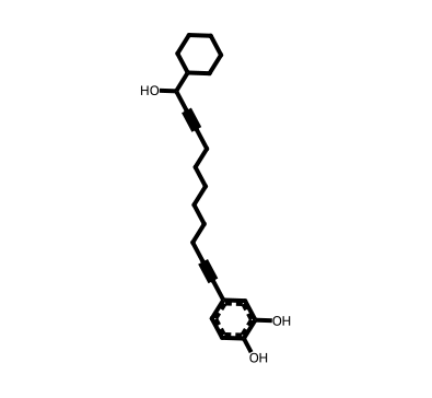 Oc1ccc(C#CCCCCCCC#CC(O)C2CCCCC2)cc1O